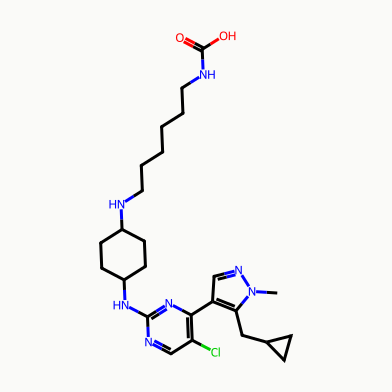 Cn1ncc(-c2nc(NC3CCC(NCCCCCCNC(=O)O)CC3)ncc2Cl)c1CC1CC1